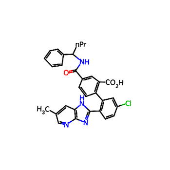 CCCC(NC(=O)c1ccc(-c2cc(Cl)ccc2-c2nc3ncc(C)cc3[nH]2)c(C(=O)O)c1)c1ccccc1